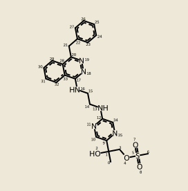 CC(O)(COS(C)(=O)=O)c1cnc(NCCNc2nnc(Cc3ccccc3)c3ccccc23)cn1